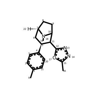 Cc1ccc([C@H]2C[C@H]3CCC(C2c2nnc(C)o2)N3C)cc1